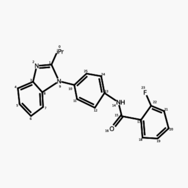 CC(C)c1nc2ccccc2n1-c1ccc(NC(=O)c2ccccc2F)cc1